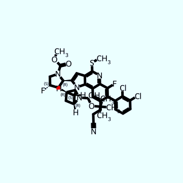 COC(=O)N1C[C@@H](F)C[C@@H]1c1cc2c(SC)nc3c(F)c(-c4cccc(Cl)c4Cl)c(CCC#N)cc3c2n1[C@H]1[C@@H]2C[C@H]1N(C(O)OC(C)(C)C)C2